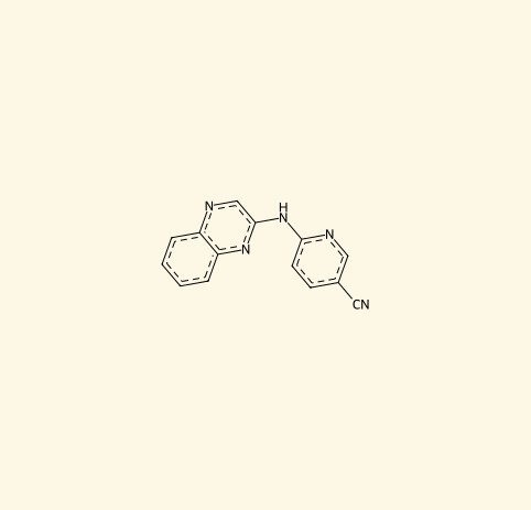 N#Cc1ccc(Nc2cnc3ccccc3n2)nc1